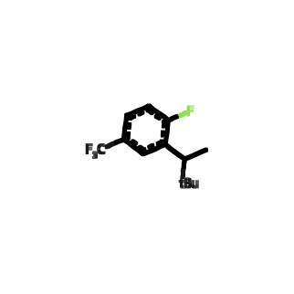 CC(c1cc(C(F)(F)F)ccc1F)C(C)(C)C